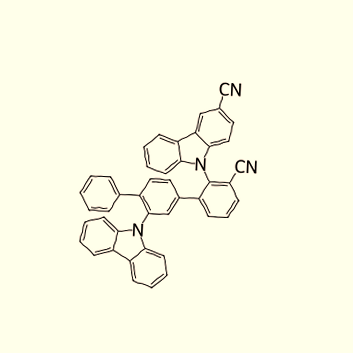 N#Cc1ccc2c(c1)c1ccccc1n2-c1c(C#N)cccc1-c1ccc(-c2ccccc2)c(-n2c3ccccc3c3ccccc32)c1